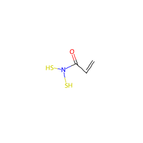 C=CC(=O)N(S)S